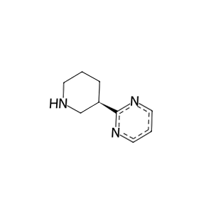 c1cnc([C@@H]2CCCNC2)nc1